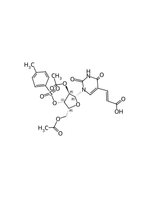 CC(=O)OC[C@H]1O[C@@H](n2cc(C=CC(=O)O)c(=O)[nH]c2=O)[C@H](OC(C)=O)[C@H]1OS(=O)(=O)c1ccc(C)cc1